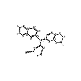 C=C/C=C(\C=C/C)N(c1ccc2c(c1)C=CCC2)c1ccc2ccccc2c1